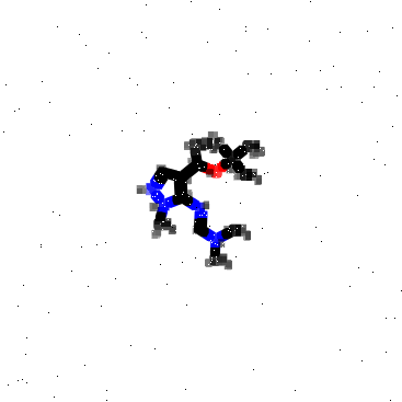 CN(C)C=Nc1c(C(C#N)O[Si](C)(C)C)cnn1C